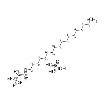 CCCCCCCCCCCCCCCCCCOC(F)=C(F)C(F)(F)F.O=P(O)(O)O